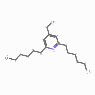 [CH2]Cc1cc(CCCCCC)nc(CCCCCC)c1